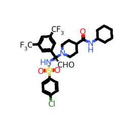 O=C[C@@](NS(=O)(=O)c1ccc(Cl)cc1)(c1cc(C(F)(F)F)cc(C(F)(F)F)c1)N1CCC(C(=O)NC2CCCCC2)CC1